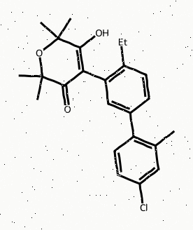 CCc1ccc(-c2ccc(Cl)cc2C)cc1C1=C(O)C(C)(C)OC(C)(C)C1=O